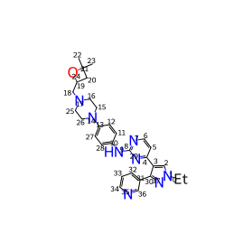 CCn1cc(-c2ccnc(Nc3ccc(N4CCN(CC5CC(C)(C)O5)CC4)cc3)n2)c(-c2cccnc2)n1